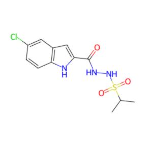 CC(C)S(=O)(=O)NNC(=O)c1cc2cc(Cl)ccc2[nH]1